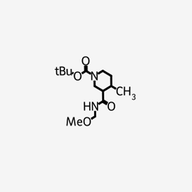 COCNC(=O)C1CN(C(=O)OC(C)(C)C)CCC1C